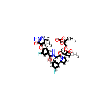 CCC(CC)(C(=O)OCc1oc(=O)oc1C)[C@H]1CC[C@@H](c2cccc(F)c2)N1C(=O)[C@@H](C)NC(=O)c1ccc(Oc2cc(C)n[nH]c2=O)c(F)c1